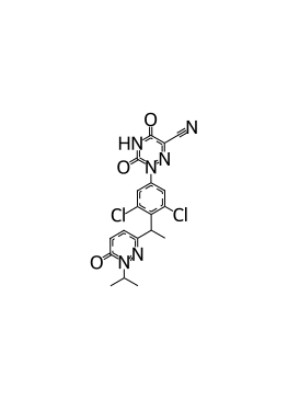 CC(c1ccc(=O)n(C(C)C)n1)c1c(Cl)cc(-n2nc(C#N)c(=O)[nH]c2=O)cc1Cl